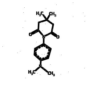 CN(C)c1ccc(N2C(=O)CC(C)(C)CC2=O)cc1